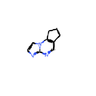 [c]1nc2nccn2c2c1CCC2